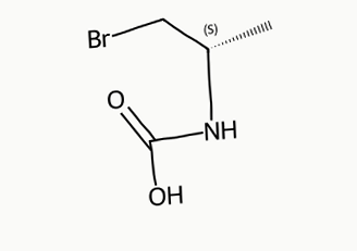 C[C@@H](CBr)NC(=O)O